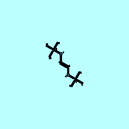 C[Si](C)(C)OC=CO[Si](C)(C)C